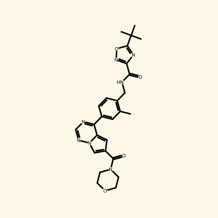 Cc1cc(-c2ncnn3cc(C(=O)N4CCOCC4)cc23)ccc1CNC(=O)c1noc(C(C)(C)C)n1